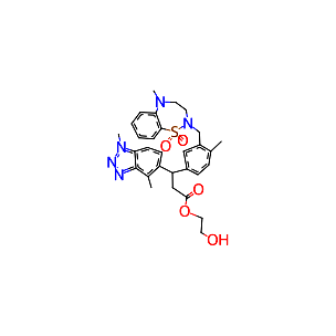 Cc1ccc(C(CC(=O)OCCO)c2ccc3c(nnn3C)c2C)cc1CN1CCN(C)c2ccccc2S1(=O)=O